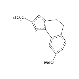 CCOC(=O)c1cc2c(s1)-c1cc(OC)ccc1CC2